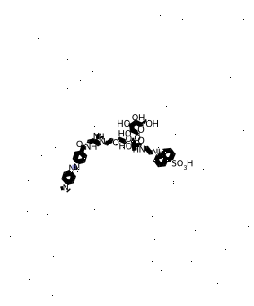 CN(C)c1ccc(/N=N/c2ccc(C(=O)NCc3cn(CCOCCOC(O[C@@H]4O[C@H](CO)[C@@H](O)[C@H](O)[C@H]4O)C(C)(O)C(=O)NCCNc4cccc5c(S(=O)(=O)O)cccc45)nn3)cc2)cc1